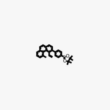 C=Cc1c(-c2ccc(B3OC(C)(C)C(C)(C)O3)cc2)ccc2ccc3cccc(C)c3c12